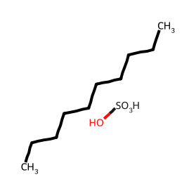 CCCCCCCCCC.O=S(=O)(O)O